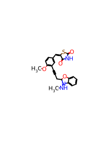 CNN1c2ccccc2OC1CC#Cc1cc(C=C2SC(=O)NC2=O)ccc1OC